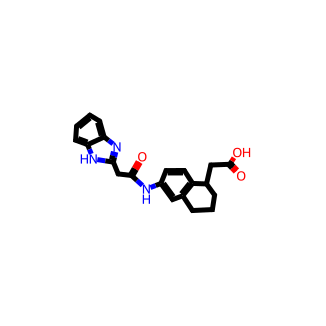 O=C(O)CC1CCCc2cc(NC(=O)Cc3nc4ccccc4[nH]3)ccc21